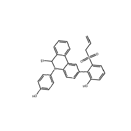 C=CCS(=O)(=O)c1cccc(O)c1-c1ccc2c(c1)-c1ccccc1C(CC)N2c1ccc(O)cc1